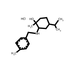 Cc1ccc(CNC2CC(C(C)C)CCC2(C)O)cc1.Cl